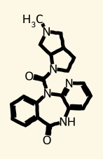 CN1CC2CCN(C(=O)N3c4ccccc4C(=O)Nc4cccnc43)C2C1